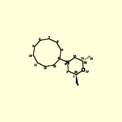 C[C@H]1CN(C2CCCCCCCCC2)C[C@H](C)O1